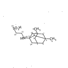 CC12CC3CC(C)(C1)CC(NCCS(=O)(=O)O)(C3)C2